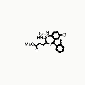 COC(=O)CCC1N=C(c2ccccc2F)c2cc(Cl)ccc2N[C@H]1NN